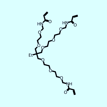 C=CC(=O)NCOCCOCCOCC(CC)(COCCOCCOCNC(=O)C=C)COCCOCNC(=O)C=C